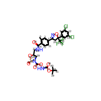 Cc1cc(C2=NOC(c3cc(Cl)cc(Cl)c3)(C(F)(F)F)C2)ccc1C(=O)NCC1CN(C(=O)ONC(=O)OC(C)(C)C)S(=O)O1